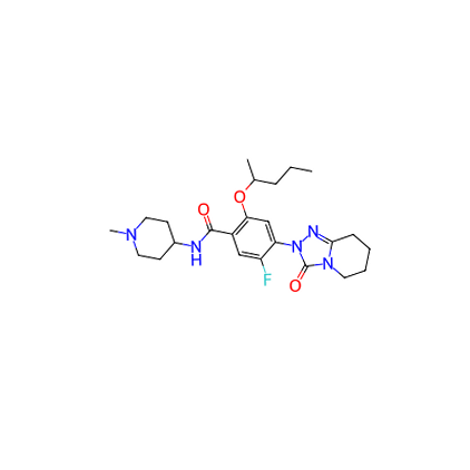 CCCC(C)Oc1cc(-n2nc3n(c2=O)CCCC3)c(F)cc1C(=O)NC1CCN(C)CC1